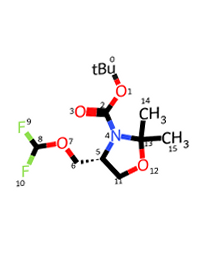 CC(C)(C)OC(=O)N1[C@@H](COC(F)F)COC1(C)C